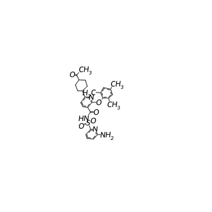 CC(=O)C1CCC(c2ccc(C(=O)NS(=O)(=O)c3cccc(N)n3)c(Oc3c(C)cc(C)cc3C)n2)CC1